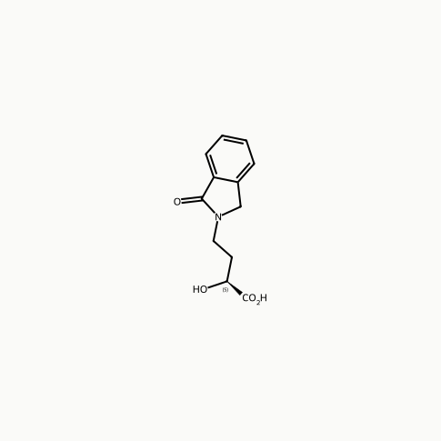 O=C(O)[C@@H](O)CCN1Cc2ccccc2C1=O